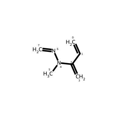 C=CC(=C)N(C)N=C